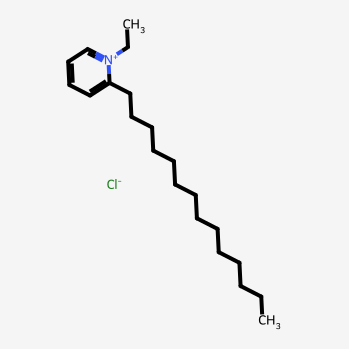 CCCCCCCCCCCCCCc1cccc[n+]1CC.[Cl-]